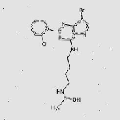 CB(O)NCCCCNc1cc(-c2ccccc2Cl)nc2c(Br)cnn12